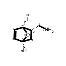 NC[C@@H]1C[C@H]2C=C[C@@H]1O2